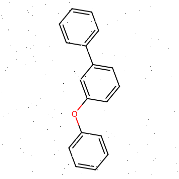 [c]1ccc(Oc2cccc(-c3ccccc3)c2)cc1